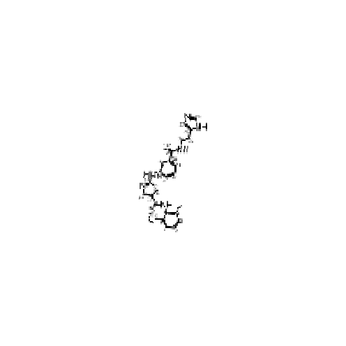 Cc1cccc(Cl)c1NC(=O)c1cnc(Nc2cccc(C(=O)NCCc3cnc[nH]3)c2)s1